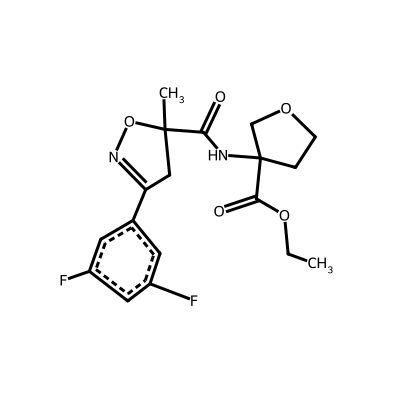 CCOC(=O)C1(NC(=O)C2(C)CC(c3cc(F)cc(F)c3)=NO2)CCOC1